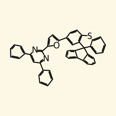 c1ccc(-c2cc(-c3ccccc3)nc(-c3ccc(-c4ccc5c(c4)C4(c6ccccc6S5)c5ccccc5-c5ccccc54)o3)n2)cc1